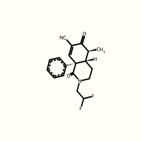 C[C@@H]1C(=O)C(C#N)=C[C@]2(c3ccccc3)C(=O)N(CC(F)F)CC[C@@H]12